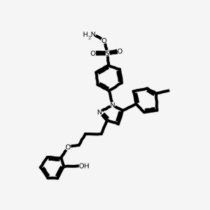 Cc1ccc(-c2cc(CCCOc3ccccc3O)nn2-c2ccc(S(=O)(=O)ON)cc2)cc1